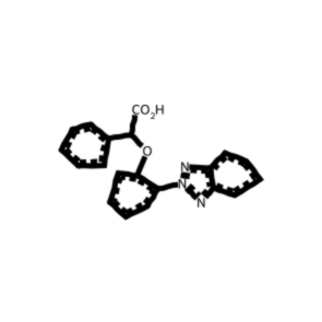 O=C(O)C(Oc1ccccc1-n1nc2ccccc2n1)c1ccccc1